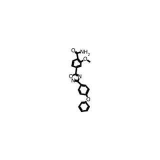 COc1cc(-c2nc(-c3ccc(Oc4ccccc4)cc3)no2)ccc1C(N)=O